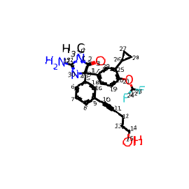 CN1C(=O)[C@](c2cccc(C#CCCCO)c2)(c2ccc(OC(F)F)c(C3CC3)c2)N=C1N